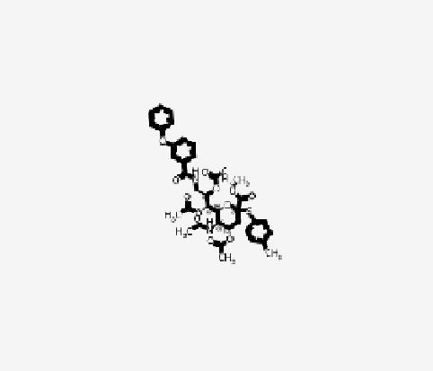 COC(=O)[C@]1(Sc2ccc(C)cc2)C[C@H](OC(C)=O)[C@@H](NC(C)=O)[C@H]([C@H](OC(C)=O)[C@@H](CNC(=O)c2cccc(Oc3ccccc3)c2)OC(C)=O)O1